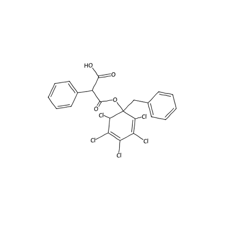 O=C(O)C(C(=O)OC1(Cc2ccccc2)C(Cl)=C(Cl)C(Cl)=C(Cl)C1Cl)c1ccccc1